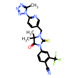 Cc1nnnn1-c1ccc(CN2C(=S)N(c3ccc(C#N)c(C(F)(F)F)c3)C(=O)C2(C)C)cn1